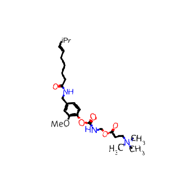 COc1cc(CNC(=O)CCCC/C=C/C(C)C)ccc1OC(=O)NCOC(=O)CC[N+](C)(C)C